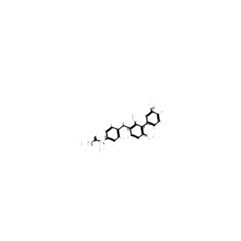 NC(=O)Nc1ccc(Cc2ccc(O)c(-c3cccc(Cl)c3)c2F)cc1